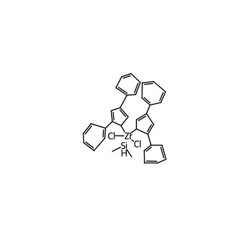 C[SiH](C)[Zr]([Cl])([Cl])([CH]1C=C(c2ccccc2)C=C1c1ccccc1)[CH]1C=C(c2ccccc2)C=C1c1ccccc1